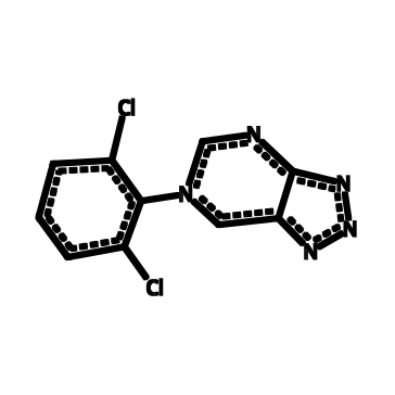 Clc1cccc(Cl)c1-n1cnc2nnnc-2c1